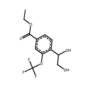 CCOC(=O)c1ccc(C(O)CO)c(OC(F)(F)F)c1